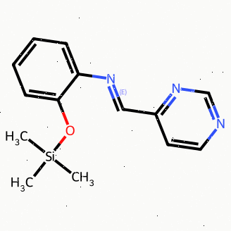 C[Si](C)(C)Oc1ccccc1/N=C/c1ccncn1